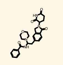 O=C1CCC(N2Cc3cc(CC(NC(=O)c4ccccc4)N4CCOCC4)ccc3C2=O)C(=O)N1